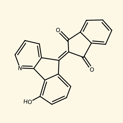 O=C1C(=C2c3cccnc3-c3c(O)cccc32)C(=O)c2ccccc21